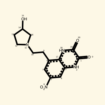 O=c1[nH]c2cc([N+](=O)[O-])cc(CCN3CCC(O)C3)c2[nH]c1=O